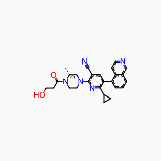 C[C@@H]1CN(c2nc(C3CC3)c(-c3cccc4cnccc34)cc2C#N)CCN1C(=O)CCO